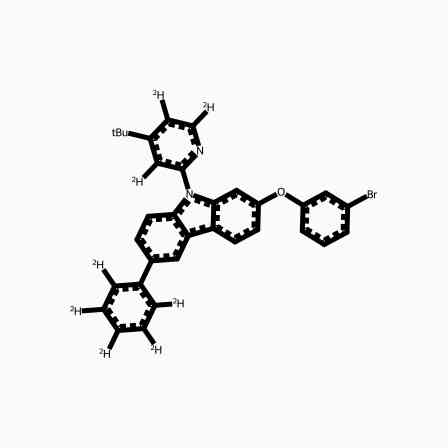 [2H]c1nc(-n2c3ccc(-c4c([2H])c([2H])c([2H])c([2H])c4[2H])cc3c3ccc(Oc4cccc(Br)c4)cc32)c([2H])c(C(C)(C)C)c1[2H]